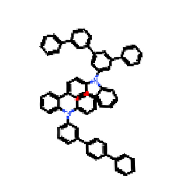 c1ccc(-c2ccc(-c3cccc(N(c4ccccc4)c4ccccc4-c4ccc5c(c4)c4ccccc4n5-c4cc(-c5ccccc5)cc(-c5cccc(-c6ccccc6)c5)c4)c3)cc2)cc1